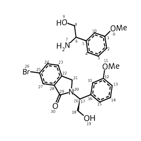 COc1cccc(C(N)CO)c1.COc1cccc([C@@H](CO)N2Cc3ccc(Br)cc3C2=O)c1